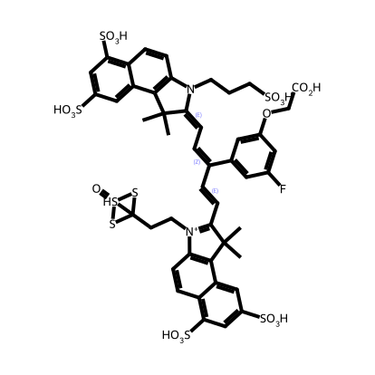 CC1(C)C(/C=C/C(=C/C=C2/N(CCCS(=O)(=O)O)c3ccc4c(S(=O)(=O)O)cc(S(=O)(=O)O)cc4c3C2(C)C)c2cc(F)cc(OCC(=O)O)c2)=[N+](CCC23S[SH]2(=O)S3)c2ccc3c(S(=O)(=O)O)cc(S(=O)(=O)O)cc3c21